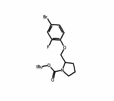 CC(C)(C)OC(=O)N1CCCC1COc1ccc(Br)cc1F